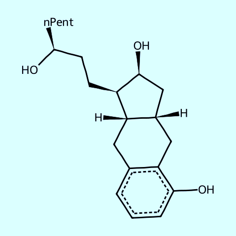 CCCCC[C@H](O)CC[C@@H]1[C@H]2Cc3cccc(O)c3C[C@H]2C[C@@H]1O